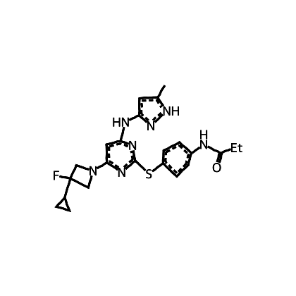 CCC(=O)Nc1ccc(Sc2nc(Nc3cc(C)[nH]n3)cc(N3CC(F)(C4CC4)C3)n2)cc1